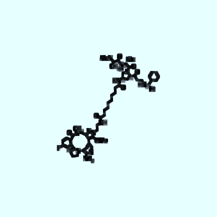 CC[C@H](NCCC(=O)[C@H]1C[C@@H](NC(=O)CCCCCCCCC(=O)NCCn2nc3c(c2OC)-c2cnc(N)c(c2)N2CCC[C@@H]2c2cc(F)ccc2C(=O)N(C)C3)CN1C(=O)[C@H](NC(=O)[C@@H](C)NC)C(C)(C)C)c1ccccc1